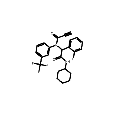 C#CC(=O)N(c1cccc(C(F)(F)F)c1)C(C(=O)NC1CCCCC1)c1ccccc1F